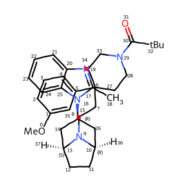 COc1cccc(C2(CCN3[C@@H]4CC[C@H]3C[C@@H](n3c(C)nc5ccccc53)C4)CCN(C(=O)C(C)(C)C)CC2)c1